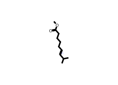 COC(=O)CCCC/C=C/C(C)C